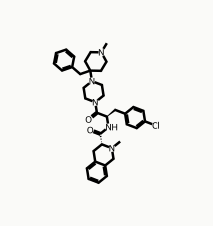 CN1CCC(Cc2ccccc2)(N2CCN(C(=O)[C@@H](Cc3ccc(Cl)cc3)NC(=O)[C@H]3Cc4ccccc4CN3C)CC2)CC1